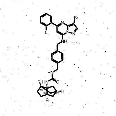 O=C(NCc1ccc(CNc2cc(-c3ccccc3Cl)nc3c(Br)cnn23)cc1)N[C@@]12C[C@@H]3C[C@H]1CC[C@H]2C3